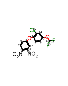 O=[N+]([O-])c1ccc(Oc2ccc(OC(F)F)cc2Cl)cc1[N+](=O)[O-]